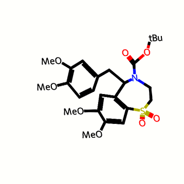 COc1ccc(CC2c3cc(OC)c(OC)cc3S(=O)(=O)CCN2C(=O)OC(C)(C)C)cc1OC